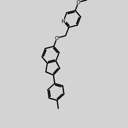 COc1ccc(COc2ccc3c(c2)C=C(c2ccc(C)cc2)C3)nc1